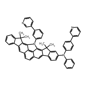 CC1(C)c2ccccc2-c2cc3ccc4cc5c(c6c4c3c(c21)n6-c1cccc(-c2cccnc2)c1)C(C)(C)c1cc(N(c2ccccc2)c2ccc(-c3cccnc3)cc2)ccc1-5